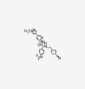 Cn1cc(-c2ccc(NC(=O)C(NCCC3=CCC(C#N)C=C3)c3ccc(C(F)(F)F)cc3)nc2)cn1